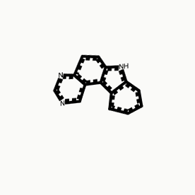 c1ccc2c(c1)[nH]c1ccc3ncncc3c12